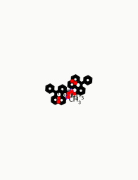 CN(C)c1ccccc1-c1c(COCc2cccc(C(c3ccccc3)c3ccccc3)c2-c2ccccc2N(C)C)cccc1C(c1ccccc1)c1ccccc1